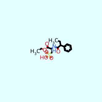 CCOC(=O)[C@H](CS(=O)(=O)O)NC(=O)C(CC)c1ccccc1